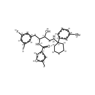 Cc1cc(C(=O)NC(Cc2cc(F)cc(F)c2)C(O)CNC2(c3cccc(C(C)(C)C)c3)CCCCC2)no1